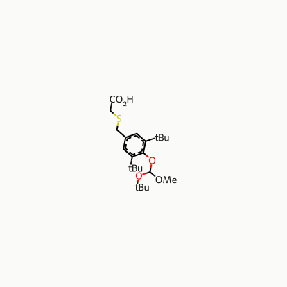 COC(Oc1c(C(C)(C)C)cc(CSCC(=O)O)cc1C(C)(C)C)OC(C)(C)C